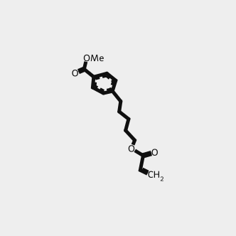 C=CC(=O)OCCCCCc1ccc(C(=O)OC)cc1